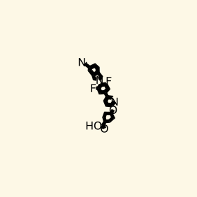 N#Cc1ccc2c(c1)CN(c1c(F)cc(-c3ccc(OC4CCC(C(=O)O)CC4)nc3)cc1F)C2